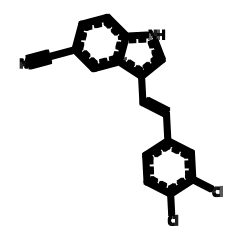 N#Cc1ccc2[nH]cc(C=Cc3ccc(Cl)c(Cl)c3)c2c1